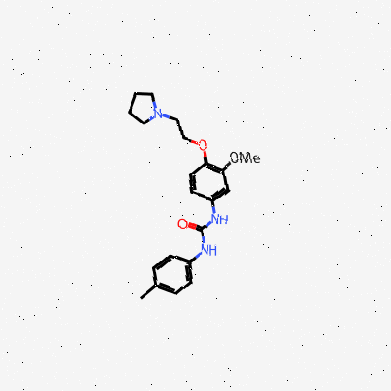 COc1cc(NC(=O)Nc2ccc(C)cc2)ccc1OCCN1CCCC1